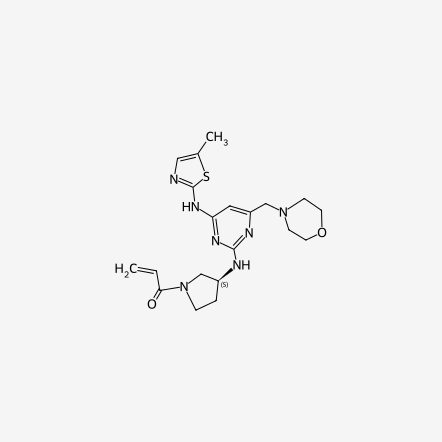 C=CC(=O)N1CC[C@H](Nc2nc(CN3CCOCC3)cc(Nc3ncc(C)s3)n2)C1